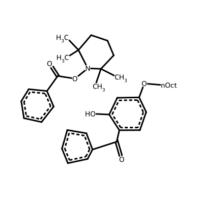 CC1(C)CCCC(C)(C)N1OC(=O)c1ccccc1.CCCCCCCCOc1ccc(C(=O)c2ccccc2)c(O)c1